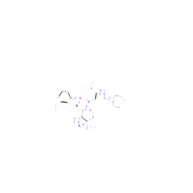 O=C(c1oc(N2CCOCC2)nc1C(F)F)N1CCc2[nH]cnc2[C@H]1c1nc2cccc(F)c2o1